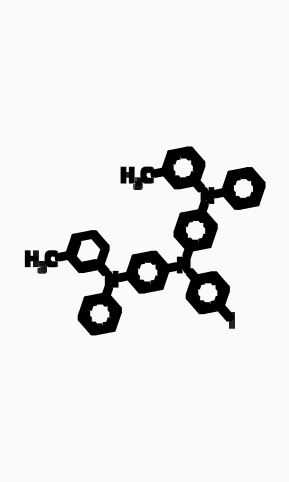 CC1=CCCC(N(c2ccccc2)c2ccc(N(c3ccc(I)cc3)c3ccc(N(c4ccccc4)c4cccc(C)c4)cc3)cc2)=C1